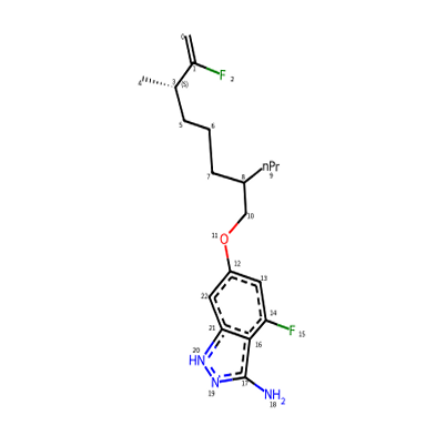 C=C(F)[C@@H](C)CCCC(CCC)COc1cc(F)c2c(N)n[nH]c2c1